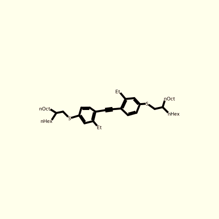 CCCCCCCCC(CCCCCC)CSc1ccc(C#Cc2ccc(SCC(CCCCCC)CCCCCCCC)cc2CC)c(CC)c1